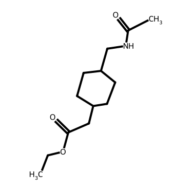 CCOC(=O)CC1CCC(CNC(C)=O)CC1